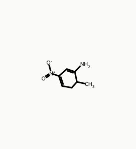 CC1CC=C([N+](=O)[O-])C=C1N